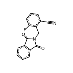 N#Cc1cccc(F)c1CN1C(=O)c2ccccc2C1=O